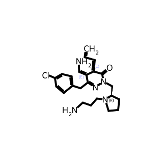 C=C/C=c1/c(=O)n(C[C@H]2CCCN2CCCN)nc(Cc2ccc(Cl)cc2)/c1=C/N